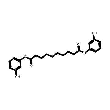 O=C(CCCCCCCCC(=O)Oc1cccc(O)c1)Oc1cccc(O)c1